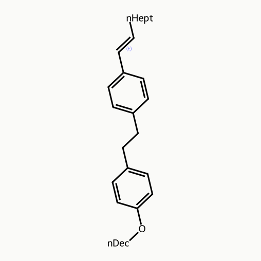 CCCCCCC/C=C/c1ccc(CCc2ccc(OCCCCCCCCCC)cc2)cc1